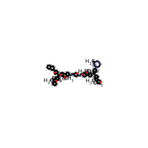 C=C1/C=C\C=C/C/C=C(c2ccc(N(c3ccc4c(c3)C(C)(C)c3ccccc3-4)c3ccc4c(c3)C(C)(C)c3cc(/C=C/c5ccc(/C=C/c6ccc7c(c6)C(C)(C)c6cc(N(c8ccc(-c9ccc%10ccccc%10c9)cc8)c8ccc9c(c8)C(C)(C)c8ccccc8-9)ccc6-7)cc5)ccc3-4)cc2)\C=C/1